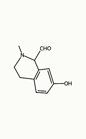 CN1CCc2ccc(O)cc2C1C=O